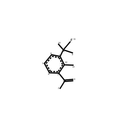 C=C(C)c1cccc(C(C)(C)F)c1C